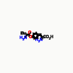 CC[C@H](C)[C@H](N)C(=O)Oc1ccc(C[C@@H](N)C(=O)O)cc1